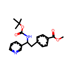 COC(=O)c1ccc(CC(NC(=O)OC(C)(C)C)c2cccnc2)cc1